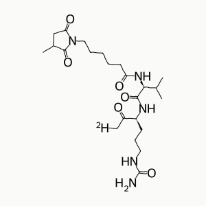 [2H]CC(=O)[C@H](CCCNC(N)=O)NC(=O)[C@@H](NC(=O)CCCCCN1C(=O)CC(C)C1=O)C(C)C